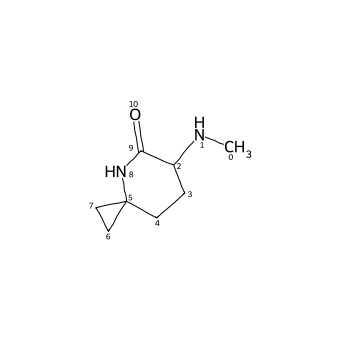 CNC1CCC2(CC2)NC1=O